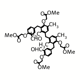 COC(=O)COc1ccc(Cc2c(C)c(Cc3cc(C)c(OCC(=O)OC)c(Cc4ccc(OCC(=O)OC)c(C=O)c4)c3C)cc(C)c2OCC(=O)OC)cc1C=O